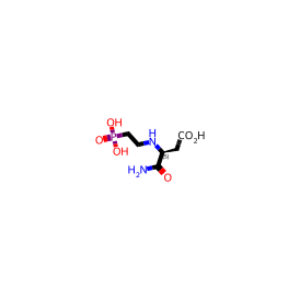 NC(=O)[C@H](CC(=O)O)NCCP(=O)(O)O